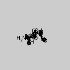 Nc1nc(C(=NOC2CCCC2)C(=O)NC2C(=O)N3CC(CSc4nnnn4CCCN4CCOCC4)(C(=O)O)CS[C@H]23)ns1